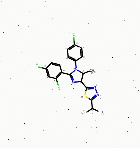 CCCCC(C)c1nnc(C2N=C(c3ccc(Cl)cc3Cl)N(c3ccc(Cl)cc3)C2C)s1